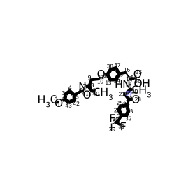 COc1ccc(-c2nc(CCOc3ccc(C[C@H](N/C(C)=C/C(=O)c4ccc(C(F)(F)F)cc4)C(=O)O)cc3)c(C)o2)cc1